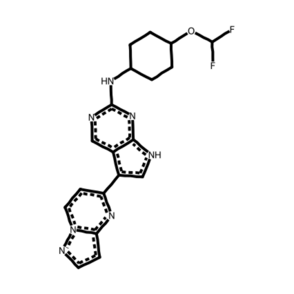 FC(F)OC1CCC(Nc2ncc3c(-c4ccn5nccc5n4)c[nH]c3n2)CC1